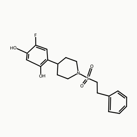 O=S(=O)(CCc1ccccc1)N1CCC(c2cc(F)c(O)cc2O)CC1